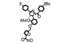 COc1c(OCc2ccc(C(=O)N=O)o2)cccc1C1SC(c2ccc(F)cc2)=NN1C(=O)c1ccc(C(C)(C)C)cc1